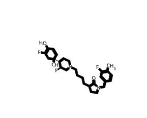 Cc1ccc(CN2CCC(CCCCN3CC[C@@H](C4(C)C=CC(O)=C(F)C4)[C@H](F)C3)C2=O)cc1F